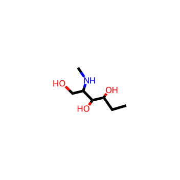 CCC(O)C(O)C(CO)NC